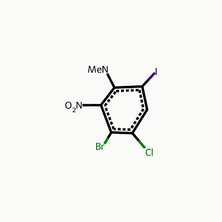 CNc1c(I)cc(Cl)c(Br)c1[N+](=O)[O-]